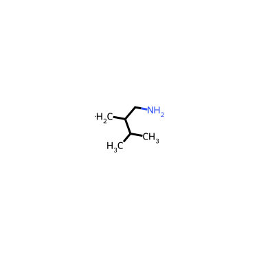 [CH2]C(CN)C(C)C